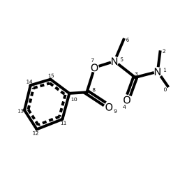 CN(C)C(=O)N(C)OC(=O)c1ccccc1